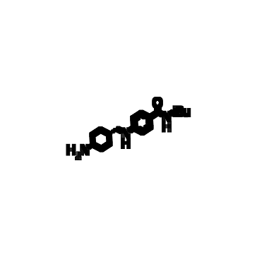 CCC(C)NC(=O)c1ccc(NC[C@H]2CC[C@H](N)CC2)cc1